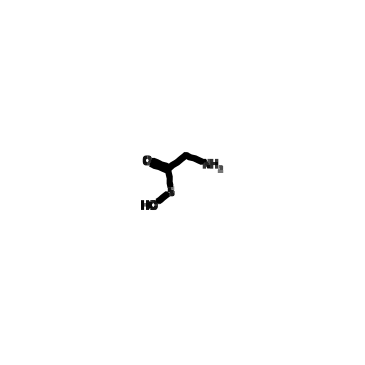 NCC(=O)SO